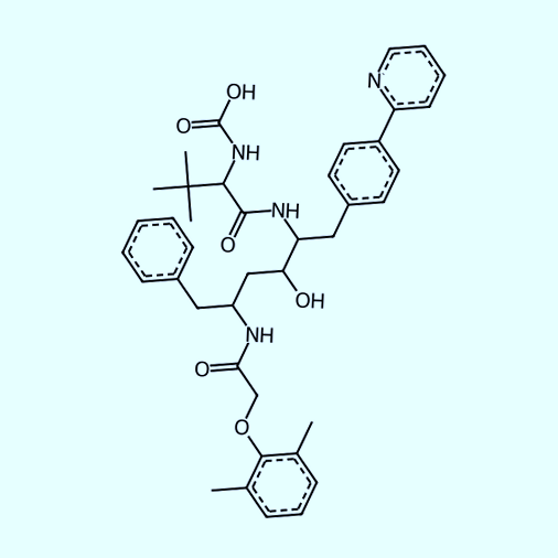 Cc1cccc(C)c1OCC(=O)NC(Cc1ccccc1)CC(O)C(Cc1ccc(-c2ccccn2)cc1)NC(=O)C(NC(=O)O)C(C)(C)C